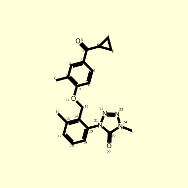 Cc1cc(C(=O)C2CC2)ccc1OCc1c(C)cccc1-n1nnn(C)c1=O